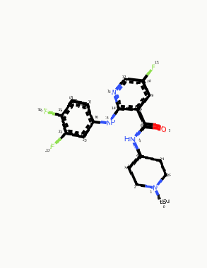 CC(C)(C)N1CCC(NC(=O)c2cc(F)cnc2Nc2ccc(F)c(F)c2)CC1